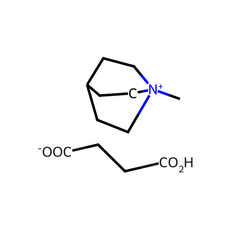 C[N+]12CCC(CC1)CC2.O=C([O-])CCC(=O)O